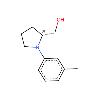 Cc1cccc(N2CCC[C@@H]2CO)c1